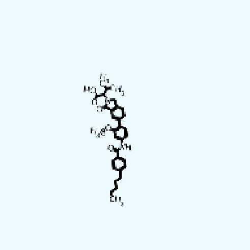 CCCCCc1ccc(C(=O)Nc2ccc(-c3ccc4c(c3)C(=O)N(C(C(=O)O)C(C)C)C4)c(OC)c2)cc1